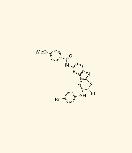 CCC(Sc1nc2ccc(NC(=O)c3ccc(OC)cc3)cc2s1)C(=O)Nc1ccc(Br)cc1